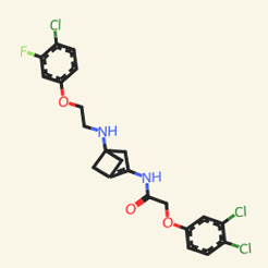 O=C(COc1ccc(Cl)c(Cl)c1)NC1=C2CC(NCCOc3ccc(Cl)c(F)c3)(C2)C1